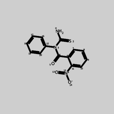 NC(=S)N(C(=O)c1ccccc1[N+](=O)[O-])c1ccccc1